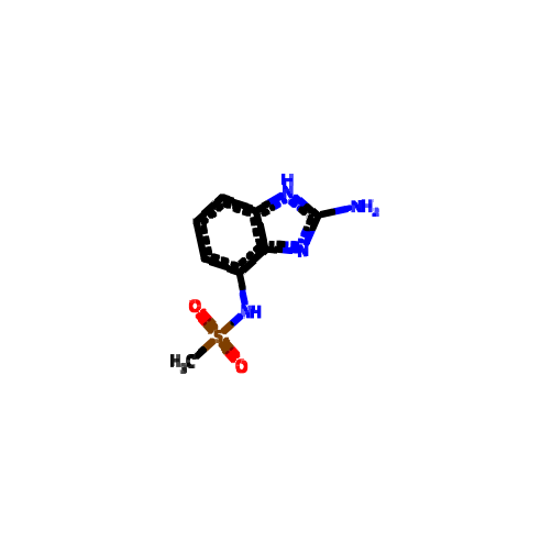 CS(=O)(=O)Nc1cccc2[nH]c(N)nc12